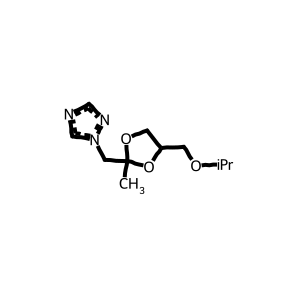 CC(C)OCC1COC(C)(Cn2cncn2)O1